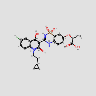 CC(Oc1ccc2c(c1)S(=O)(=O)N=C(c1c(O)c3cc(F)ccc3n(CCC3CC3)c1=O)N2)C(=O)O